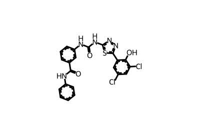 O=C(Nc1cccc(C(=O)Nc2ccccc2)c1)Nc1nnc(-c2cc(Cl)cc(Cl)c2O)s1